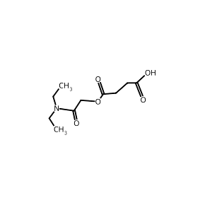 CCN(CC)C(=O)COC(=O)CCC(=O)O